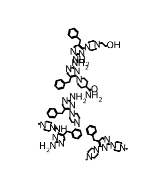 CN1CCN(Nc2nc(N)ncc2Cc2ccccc2)CC1.CN1CCN(c2nc(N)ncc2Cc2ccccc2)CC1.CN1CCN(c2ncc(Cc3ccccc3)c(N3CCN(C)CC3)n2)CC1.NC(=O)C1CCN(c2nc(N)ncc2Cc2ccccc2)CC1.Nc1ncc(Cc2ccccc2)c(N2CCN(CCO)CC2)n1